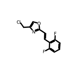 Fc1cccc(F)c1C=Cc1nc(CCl)co1